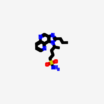 CCCc1nc2cnc3cccnc3c2n1C(C)CCCS(N)(=O)=O